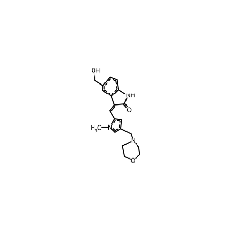 Cn1cc(CN2CCOCC2)cc1C=C1C(=O)Nc2ccc(CO)cc21